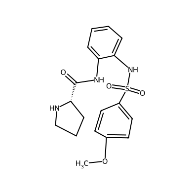 COc1ccc(S(=O)(=O)Nc2ccccc2NC(=O)[C@@H]2CCCN2)cc1